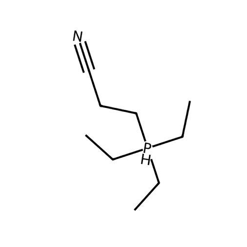 CC[PH](CC)(CC)CCC#N